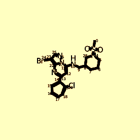 CS(=O)(=O)N1CCCC(CNc2cc(-c3ccccc3Cl)nc3c(Br)cnn23)C1